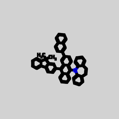 CC1(C)c2ccccc2-c2ccc(-c3c4ccccc4c(N4c5ccccc5C=Cc5ccccc54)c4ccc(-c5ccc6ccccc6c5)cc34)cc21